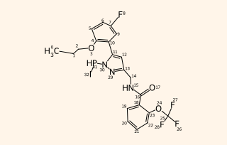 CCCOc1ccc(F)cc1-c1cc(CNC(=O)c2ccccc2OC(F)(F)F)nn1PI